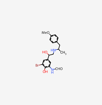 COc1ccc(CC(C)NCC(O)c2cc(Br)c(O)c(NC=O)c2)cc1